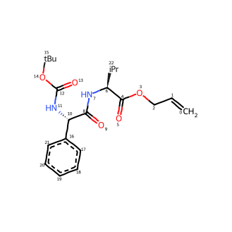 C=CCOC(=O)[C@@H](NC(=O)[C@@H](NC(=O)OC(C)(C)C)c1ccccc1)C(C)C